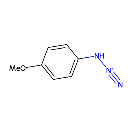 COc1ccc(N[N+]#N)cc1